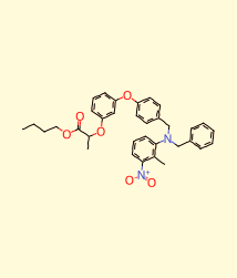 CCCCOC(=O)C(C)Oc1cccc(Oc2ccc(CN(Cc3ccccc3)c3cccc([N+](=O)[O-])c3C)cc2)c1